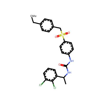 COCc1ccc(CS(=O)(=O)c2ccc(NC(=O)NC(C)c3cccc(Cl)c3Cl)cc2)cc1